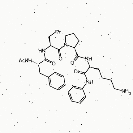 CC(=O)N[C@@H](Cc1ccccc1)C(=O)N[C@@H](CC(C)C)C(=O)N1CCC[C@H]1C(=O)N[C@@H](CCCCN)C(=O)Nc1ccccc1